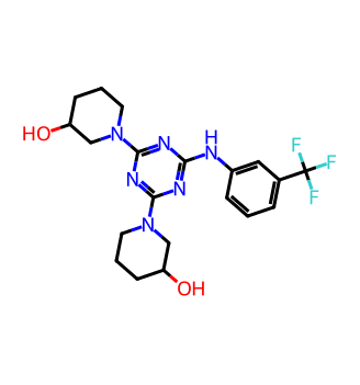 OC1CCCN(c2nc(Nc3cccc(C(F)(F)F)c3)nc(N3CCCC(O)C3)n2)C1